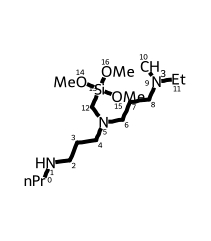 CCCNCCCN(CCCN(C)CC)C[Si](OC)(OC)OC